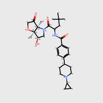 CC(C)(C)CC(NC(=O)c1ccc(C2CCN(C3CC3)CC2)cc1)C(=O)N1C[C@@H](O)[C@H]2OCC(=O)[C@H]21